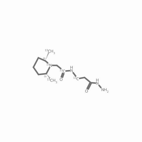 [13CH3][C@@H]1CCC[C@H]([13CH3])[15N]1C[13C](=O)N[13CH2]CC(=O)NN